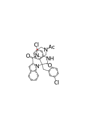 CC(=O)N1CCN(C(=O)c2cc3ccccc3n2C2(Cc3cccc(Cl)c3)C(=O)Nc3cc(Cl)ccc32)CC1